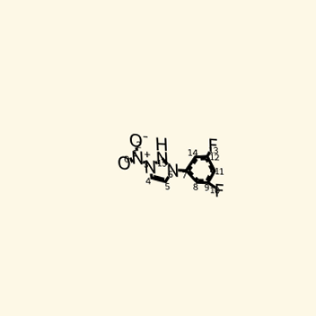 O=[N+]([O-])N1C=CN(c2cc(F)cc(F)c2)N1